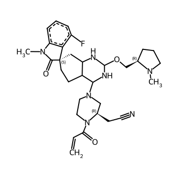 C=CC(=O)N1CCN(C2NC(OC[C@H]3CCCN3C)NC3C[C@]4(CCC32)C(=O)N(C)c2cccc(F)c24)C[C@H]1CC#N